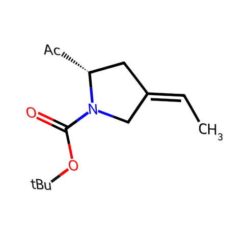 CC=C1C[C@@H](C(C)=O)N(C(=O)OC(C)(C)C)C1